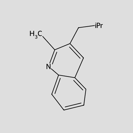 Cc1nc2ccccc2cc1CC(C)C